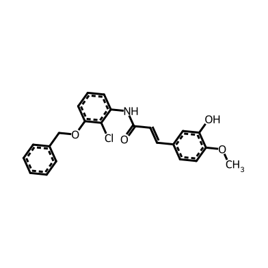 COc1ccc(C=CC(=O)Nc2cccc(OCc3ccccc3)c2Cl)cc1O